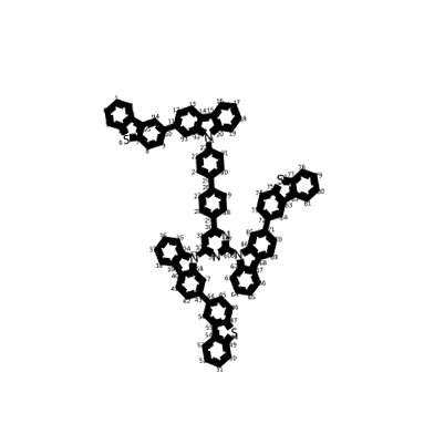 c1ccc2c(c1)sc1ccc(-c3ccc4c5ccccc5n(-c5ccc(-c6ccc(-c7cc(-n8c9ccccc9c9ccc(-c%10ccc%11sc%12ccccc%12c%11c%10)cc98)nc(-n8c9ccccc9c9ccc(-c%10ccc%11sc%12ccccc%12c%11c%10)cc98)n7)cc6)cc5)c4c3)cc12